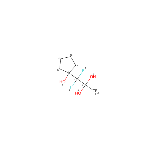 OC1(C(F)(F)C(O)(O)C(F)(F)F)CCCC1